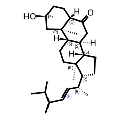 CC(C)C(C)/C=C/[C@@H](C)[C@H]1CC[C@H]2[C@@H]3CC(=O)[C@H]4CC[C@H](O)C[C@]4(C)[C@H]3CC[C@]12C